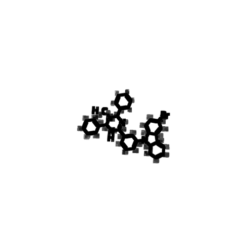 CN1C(c2ccccc2)N=C(c2cccc(-n3c4ccccc4c4cc(Br)ccc43)c2)NC1c1ccccc1